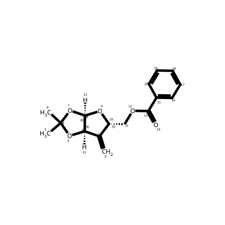 C=C1[C@H]2OC(C)(C)O[C@H]2O[C@@H]1COC(=O)c1ccccc1